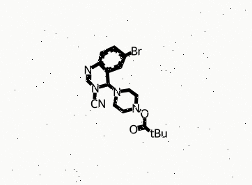 CC(C)(C)C(=O)ON1CCN(C2c3cc(Br)ccc3N=CN2C#N)CC1